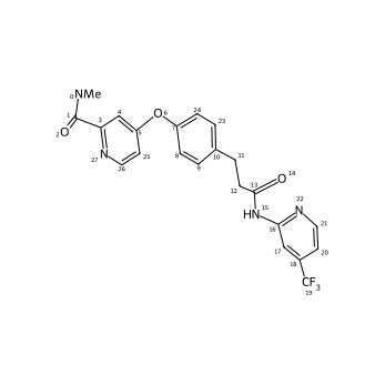 CNC(=O)c1cc(Oc2ccc(CCC(=O)Nc3cc(C(F)(F)F)ccn3)cc2)ccn1